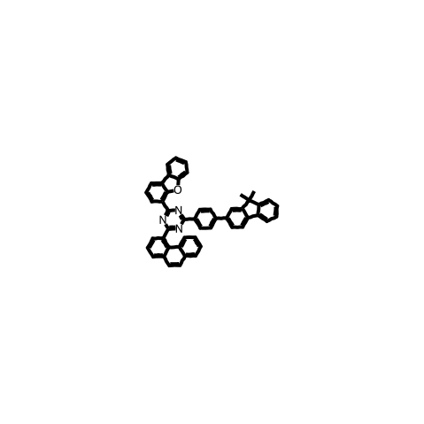 CC1(C)c2ccccc2-c2ccc(-c3ccc(-c4nc(-c5cccc6c5oc5ccccc56)nc(-c5cccc6ccc7ccccc7c56)n4)cc3)cc21